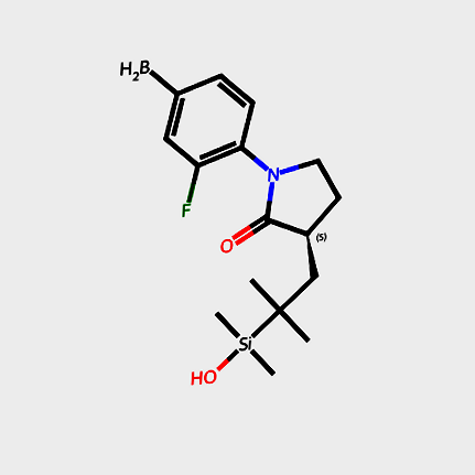 Bc1ccc(N2CC[C@@H](CC(C)(C)[Si](C)(C)O)C2=O)c(F)c1